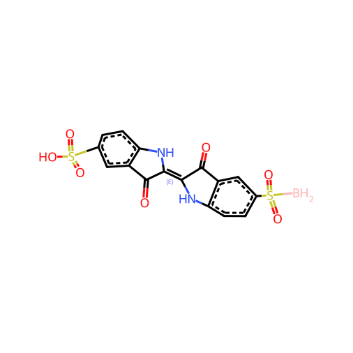 BS(=O)(=O)c1ccc2c(c1)C(=O)/C(=C1\Nc3ccc(S(=O)(=O)O)cc3C1=O)N2